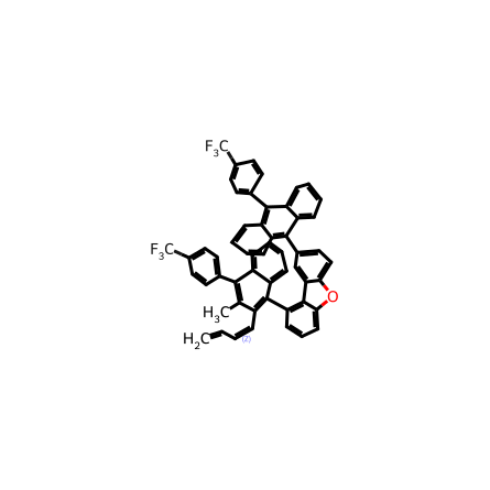 C=C/C=C\c1c(C)c(-c2ccc(C(F)(F)F)cc2)c2ccccc2c1-c1cccc2oc3ccc(-c4c5ccccc5c(-c5ccc(C(F)(F)F)cc5)c5ccccc45)cc3c12